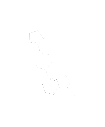 Sn1ccc2c(N3CCN(C4=NCCN4)CC3)cccc21